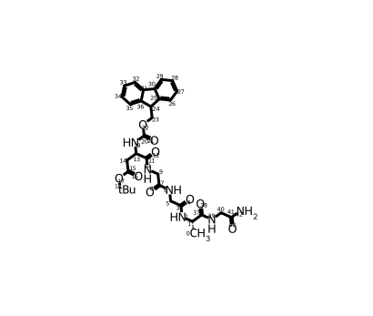 C[C@H](NC(=O)CNC(=O)CNC(=O)C(CC(=O)OC(C)(C)C)NC(=O)OCC1c2ccccc2-c2ccccc21)C(=O)NCC(N)=O